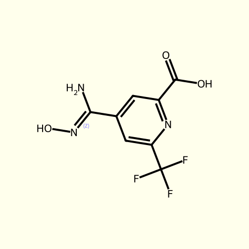 N/C(=N\O)c1cc(C(=O)O)nc(C(F)(F)F)c1